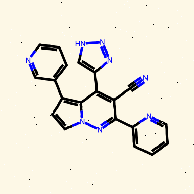 N#Cc1c(-c2ccccn2)nn2ccc(-c3cccnc3)c2c1-c1c[nH]nn1